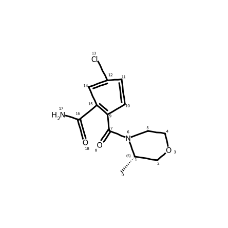 C[C@H]1COCCN1C(=O)c1ccc(Cl)cc1C(N)=O